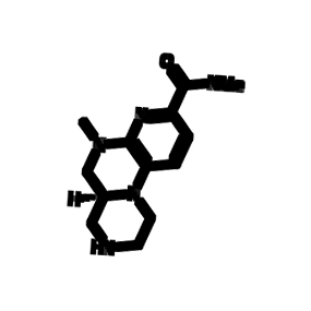 CNC(=O)c1ccc2c(n1)N(C)C[C@@H]1CNCCN21